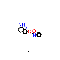 NC1CCCc2ccc(OCC(=O)Nc3ccccc3)cc2C1